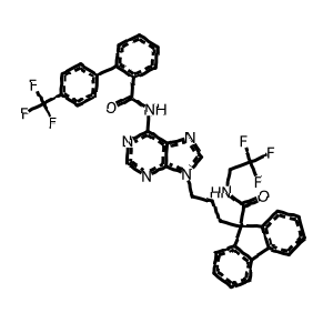 O=C(Nc1ncnc2c1ncn2CCCC1(C(=O)NCC(F)(F)F)c2ccccc2-c2ccccc21)c1ccccc1-c1ccc(C(F)(F)F)cc1